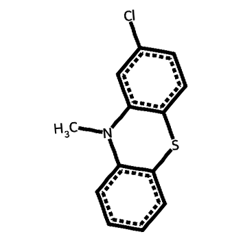 CN1c2ccccc2Sc2ccc(Cl)cc21